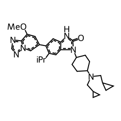 COc1cc(-c2cc3[nH]c(=O)n(C4CCC(N(CC5CC5)CC5CC5)CC4)c3cc2C(C)C)cn2ncnc12